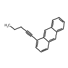 CCCC#Cc1cccc2cc3ccccc3cc12